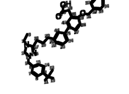 CCN1CN(Cc2ccc(C(C)(C)C)cc2)N=C1CCCc1cccc(-c2ccc(OCc3ccccc3)c(CC(=O)O)c2)c1